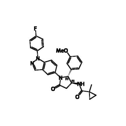 COc1cccc([C@@H]2[C@@H](NC(=O)C3(C)CC3)CC(=O)N2c2ccc3c(cnn3-c3ccc(F)cc3)c2)c1